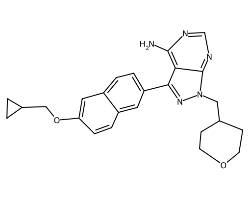 Nc1ncnc2c1c(-c1ccc3cc(OCC4CC4)ccc3c1)nn2CC1CCOCC1